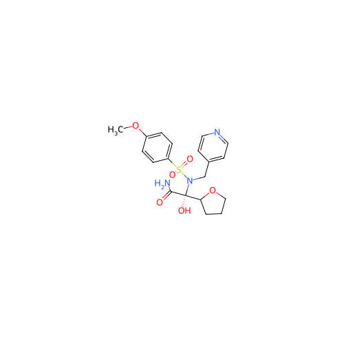 COc1ccc(S(=O)(=O)N(Cc2ccncc2)[C@](O)(C(N)=O)C2CCCO2)cc1